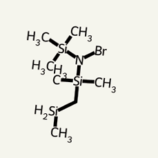 C[SiH2]C[Si](C)(C)N(Br)[Si](C)(C)C